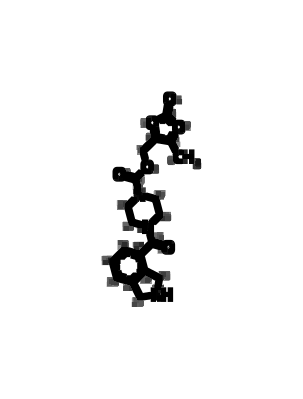 Cc1oc(=O)oc1COC(=O)N1CCN(C(=O)c2cccc3c2CNC3)CC1